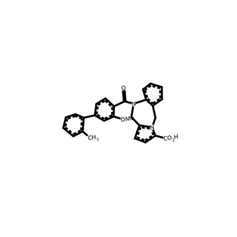 COc1cc(-c2ccccc2C)ccc1C(=O)N1Cc2ccc(C(=O)O)n2Cc2ccccc21